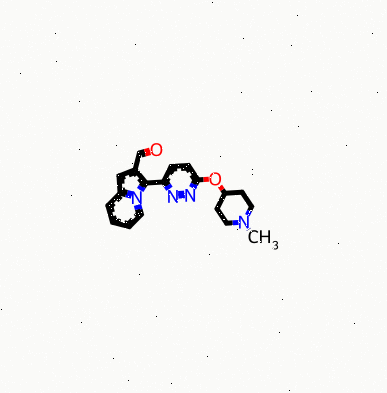 CN1CCC(Oc2ccc(-c3c(C=O)cc4ccccn34)nn2)CC1